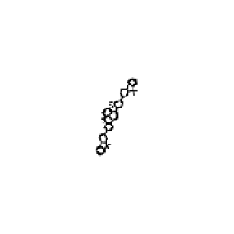 CC1(C)c2ccccc2-c2ccc(-c3ccc4c(c3)Sc3ccc5c6c(ccc-4c36)-c3ccc(-c4ccc6c(c4)C(C)(C)c4ccccc4-6)cc3S5)cc21